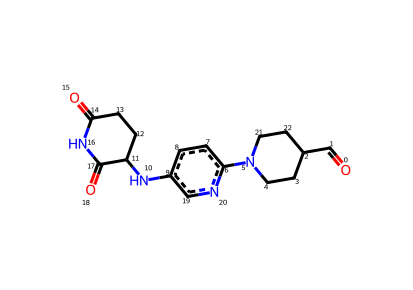 O=CC1CCN(c2ccc(NC3CCC(=O)NC3=O)cn2)CC1